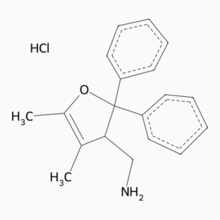 CC1=C(C)C(CN)C(c2ccccc2)(c2ccccc2)O1.Cl